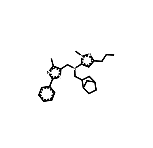 CCCc1cc(N(Cc2sc(-c3ccccc3)nc2C)CC2CC3CCC2C3)n(C)n1